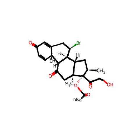 CCCCC(=O)O[C@@]1(C(=O)CO)[C@H](C)C[C@H]2[C@@H]3[C@H](Br)CC4=CC(=O)C=C[C@]4(C)[C@H]3C(=O)C[C@@]21C